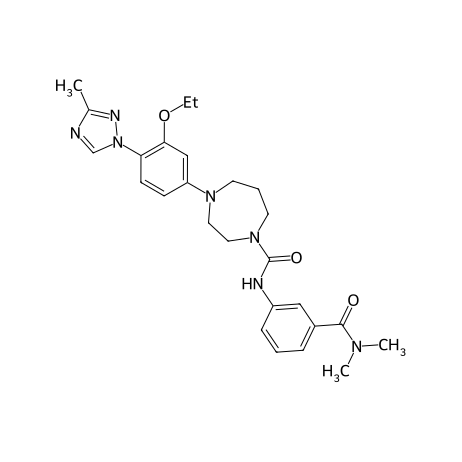 CCOc1cc(N2CCCN(C(=O)Nc3cccc(C(=O)N(C)C)c3)CC2)ccc1-n1cnc(C)n1